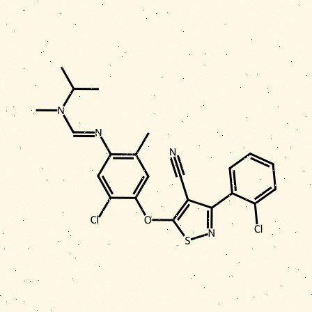 Cc1cc(Oc2snc(-c3ccccc3Cl)c2C#N)c(Cl)cc1N=CN(C)C(C)C